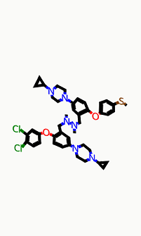 CSc1ccc(Oc2ccc(N3CCN(C4CC4)CC3)cc2CN(C)N(C)Cc2cc(N3CCN(C4CC4)CC3)ccc2Oc2ccc(Cl)c(Cl)c2)cc1